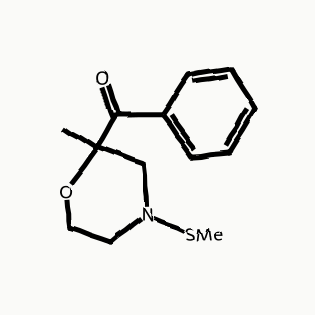 CSN1CCOC(C)(C(=O)c2ccccc2)C1